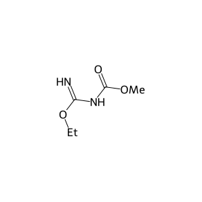 CCOC(=N)NC(=O)OC